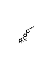 CCCCCC1CCC(c2ccc(C3Cc4ccc(C)c(F)c4OC3=O)cc2)CC1